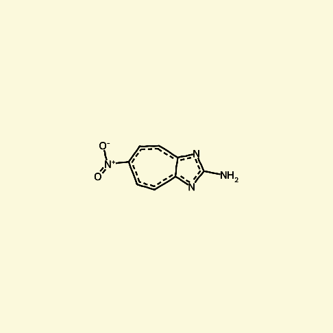 Nc1nc2ccc([N+](=O)[O-])ccc-2n1